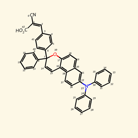 N#C/C(=C/c1ccc(C2(c3ccccc3)C=Cc3c(ccc4cc(N(c5ccccc5)c5ccccc5)ccc34)O2)cc1)C(=O)O